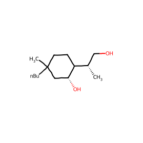 CCCCC1(C)CCC([C@@H](C)CO)[C@H](O)C1